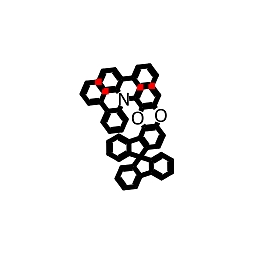 c1ccc(-c2ccccc2N(c2ccccc2-c2ccccc2)c2cccc3c2Oc2c(ccc4c2-c2ccccc2C42c4ccccc4-c4ccccc42)O3)cc1